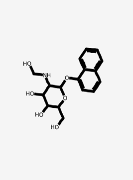 OCNC1C(Oc2cccc3ccccc23)OC(CO)C(O)C1O